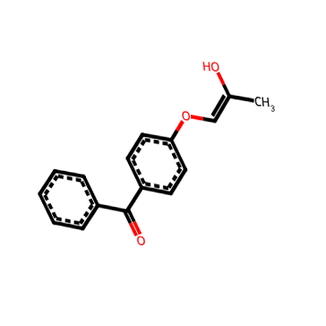 CC(O)=COc1ccc(C(=O)c2ccccc2)cc1